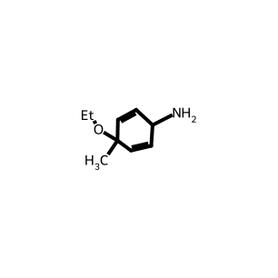 CCOC1(C)C=CC(N)C=C1